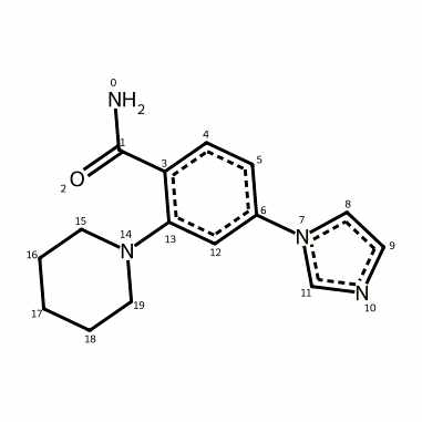 NC(=O)c1ccc(-n2ccnc2)cc1N1CCCCC1